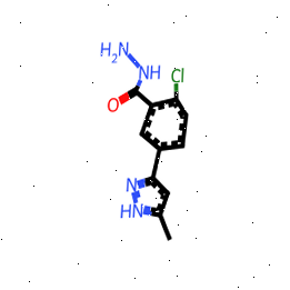 Cc1cc(-c2ccc(Cl)c(C(=O)NN)c2)n[nH]1